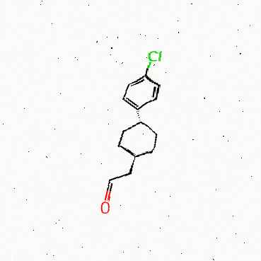 O=CC[C@H]1CC[C@H](c2ccc(Cl)cc2)CC1